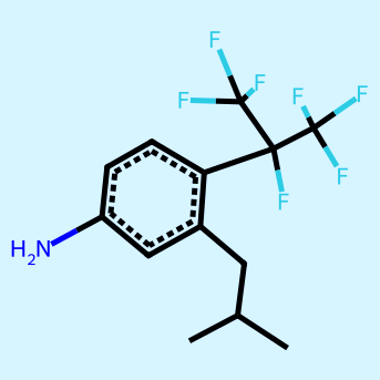 CC(C)Cc1cc(N)ccc1C(F)(C(F)(F)F)C(F)(F)F